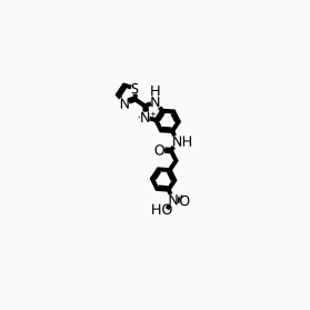 O=C(Cc1cccc([N+](=O)O)c1)Nc1ccc2c(c1)[N+]=C(c1nccs1)N2